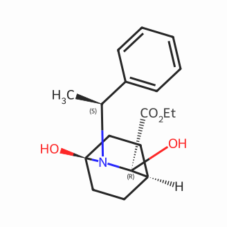 CCOC(=O)[C@]1(O)[C@H]2CC[C@@](O)(CC2)N1[C@@H](C)c1ccccc1